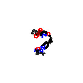 CCS(=O)(=O)c1ccc(OCC[C@@H]2C[C@H]2C2CCN(c3nc(C(C)C)no3)CC2)nc1